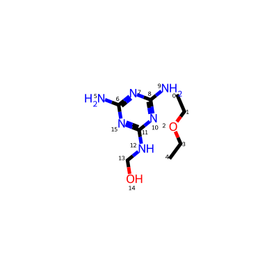 CCOCC.Nc1nc(N)nc(NCO)n1